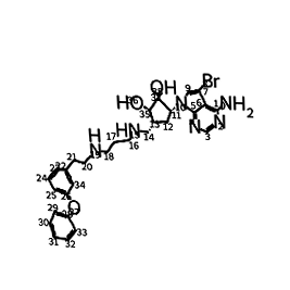 Nc1ncnc2c1c(Br)cn2[C@@H]1C[C@H](CNCCCNCCc2cccc(Oc3ccccc3)c2)[C@@H](O)[C@H]1O